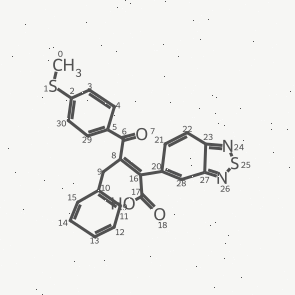 CSc1ccc(C(=O)C(Cc2ccccc2)=C(C(=O)O)c2ccc3nsnc3c2)cc1